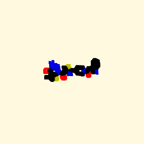 Cc1csc(NC(=O)c2csc(C3CCN(C(=O)CC4C=Nc5ccccc54)CC3)n2)c1C(N)=O